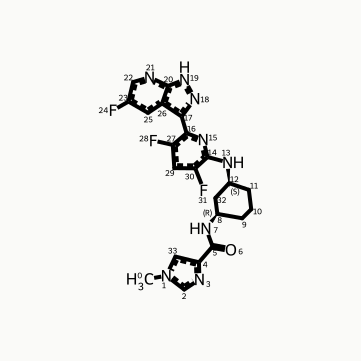 Cn1cnc(C(=O)N[C@@H]2CCC[C@H](Nc3nc(-c4n[nH]c5ncc(F)cc45)c(F)cc3F)C2)c1